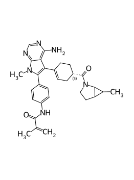 C=C(C)C(=O)Nc1ccc(-c2c(C3=CC[C@@H](C(=O)N4CCC5C(C)C54)CC3)c3c(N)ncnc3n2C)cc1